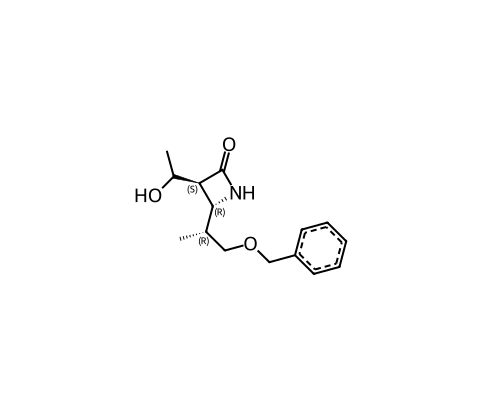 CC(O)[C@H]1C(=O)N[C@@H]1[C@@H](C)COCc1ccccc1